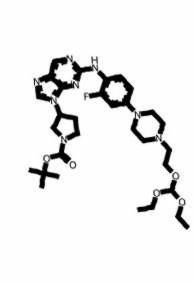 CCOC(OCC)OCCN1CCN(c2ccc(Nc3ncc4ncn(C5CCN(C(=O)OC(C)(C)C)C5)c4n3)c(F)c2)CC1